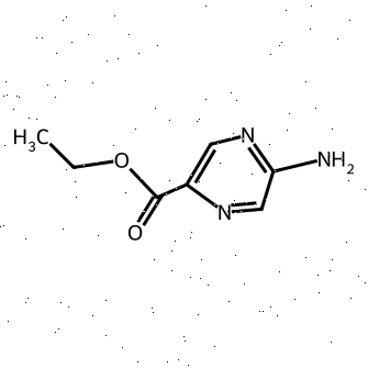 CCOC(=O)c1cnc(N)cn1